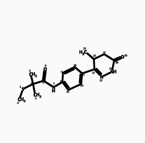 CSC(C)(C)C(=O)Nc1ccc(C2=NNC(=O)CC2C)cc1